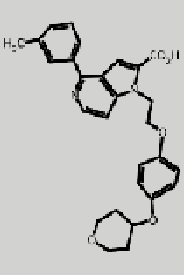 Cc1cccc(-c2nccc3c2cc(C(=O)O)n3CCOc2ccc(OC3CCOCC3)cc2)c1